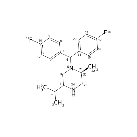 CC(C)C1CN(C(c2ccc(F)cc2)c2ccc(F)cc2)[C@@H](C)CN1